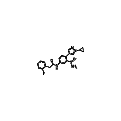 N[S+]([O-])c1cc(NC(=O)Cc2ccccc2F)ccc1-c1cnn(C2CC2)c1